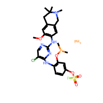 COc1cc2c(cc1Nc1ncc(Cl)c(Nc3ccc(OS(=O)(=O)F)cc3OP(C)C)n1)CN(C)C(C)(C)C2.P